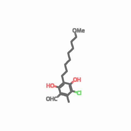 COCCCCCCCCc1c(O)c(Cl)c(C)c(C=O)c1O